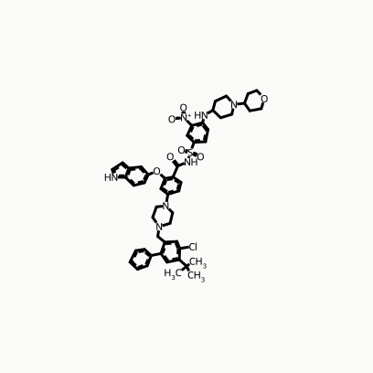 CC(C)(C)c1cc(-c2ccccc2)c(CN2CCN(c3ccc(C(=O)NS(=O)(=O)c4ccc(NC5CCN(C6CCOCC6)CC5)c([N+](=O)[O-])c4)c(Oc4ccc5[nH]ccc5c4)c3)CC2)cc1Cl